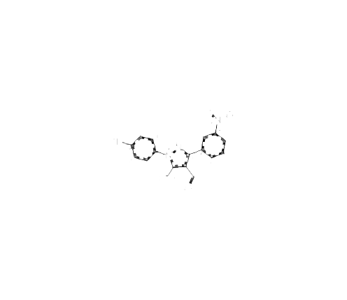 O=Cc1c(-c2cccc([N+](=O)[O-])c2)nn(-c2ccc(F)cc2)c1Cl